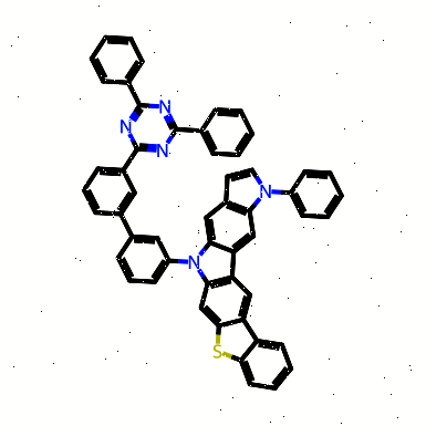 c1ccc(-c2nc(-c3ccccc3)nc(-c3cccc(-c4cccc(-n5c6cc7ccn(-c8ccccc8)c7cc6c6cc7c(cc65)sc5ccccc57)c4)c3)n2)cc1